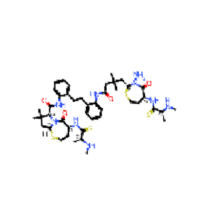 CN[C@@H](C)C(=S)N[C@H]1CCS[C@@H](CC(C)(C)CC(=O)Nc2ccccc2CCc2ccccc2NC(=O)[C@H]2N3C(=O)[C@@H](NC(=S)[C@H](C)NC)CCS[C@H]3CC2(C)C)N(N)C1=O